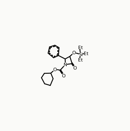 CC[Si](CC)(CC)OC1C(=O)N(C(=O)OC2CCCCC2)C1c1ccccc1